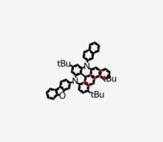 CC(C)(C)c1ccc(N(c2ccc3ccccc3c2)c2cc(C(C)(C)C)cc(N(c3ccc(C(C)(C)C)cc3)c3ccc4c(c3)oc3ccccc34)c2-c2cccc(-c3ccccc3)c2)cc1